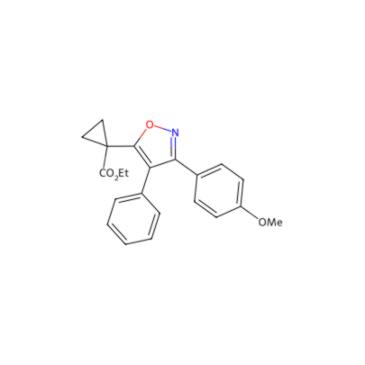 CCOC(=O)C1(c2onc(-c3ccc(OC)cc3)c2-c2ccccc2)CC1